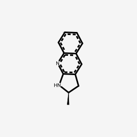 C[C@@H]1Cc2cc3cc[c]cc3nc2N1